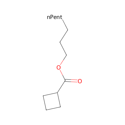 CCCCCCCCOC(=O)C1CCC1